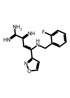 N=C(N)C(=N)/C=C(\NCc1ccccc1F)c1ccon1